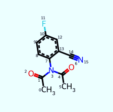 CC(=O)N(C(C)=O)c1c[c]c(F)cc1C#N